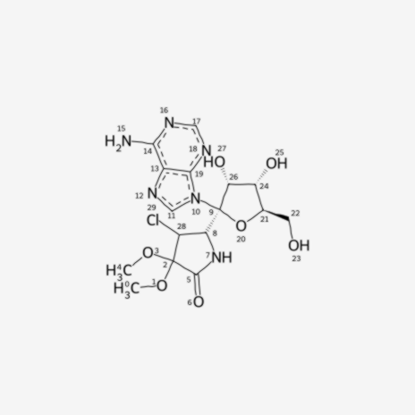 COC1(OC)C(=O)NC([C@@]2(n3cnc4c(N)ncnc43)O[C@H](CO)[C@@H](O)[C@H]2O)C1Cl